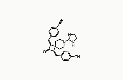 C#Cc1ccc(/C=C2/C(=O)/C(=C/c3ccc(C#N)cc3)C23CCN(C2=NCCN2)CC3)cc1